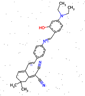 CCN(CC)c1ccc(/C=N/c2ccc(/C=C/C3=CCC(C)(C)CC3=C(C#N)C#N)cc2)c(O)c1